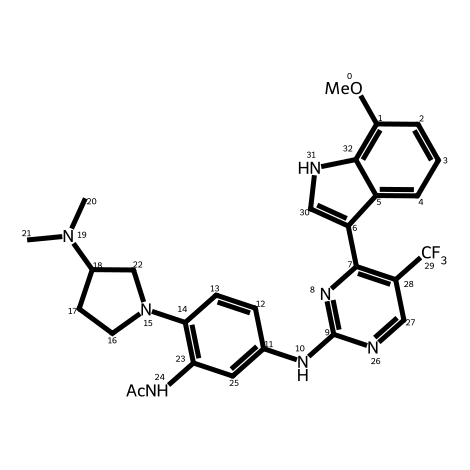 COc1cccc2c(-c3nc(Nc4ccc(N5CCC(N(C)C)C5)c(NC(C)=O)c4)ncc3C(F)(F)F)c[nH]c12